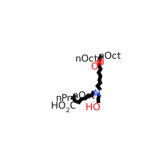 CCCCCCCCC(CCCCCCCC)OC(=O)CCCCCCCN(CCCO)CCCCCCC(C(=O)O)C(CCC)CCCCCCCC